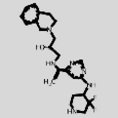 C=C(NC[C@H](O)CN1CCc2ccccc2C1)c1cc(NC2CCNCC2(F)F)ncn1